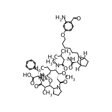 CC[C@H](C)[C@@H]([C@@H](CC(=O)N1CCC[C@H]1[C@H](OC)[C@@H](C)C(=O)N[C@@H](Cc1ccccc1)C(=O)O)OC)N(C)C(=O)[C@@H](NC(=O)[C@@H]1[C@H]2CC[C@H](C2)N1CCCCCCOc1ccc(C=O)c(N)c1)C(C)C